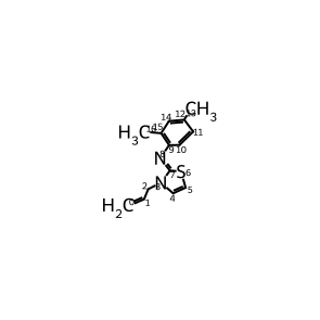 C=CCn1ccsc1=Nc1ccc(C)cc1C